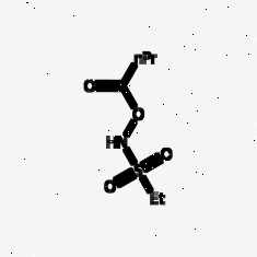 CCCC(=O)ONS(=O)(=O)CC